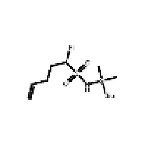 C=CCC[C@@H](CC)S(=O)(=O)N[Si](C)(C)C(C)(C)C